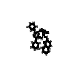 CCCCN(Cc1ccc2ccccc2n1)Cc1c(-c2ccccc2)nc(-c2ccccc2)n1CCCC